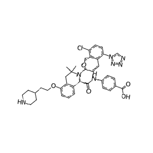 CC1(C)Cc2c(OCCC3CCNCC3)cccc2[C@H](C(=O)Nc2ccc(C(=O)O)cc2)N1C(=O)C=Cc1c(-n2cnnn2)ccc(Cl)c1F